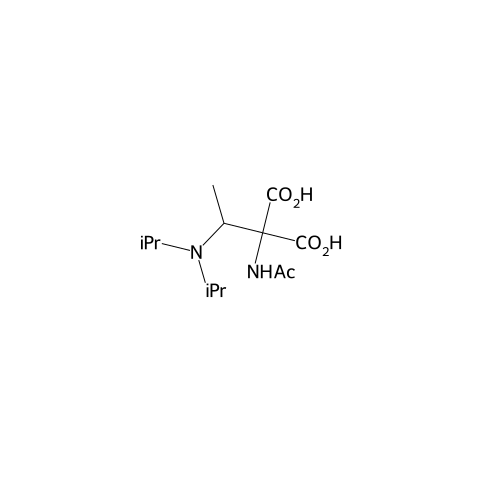 CC(=O)NC(C(=O)O)(C(=O)O)C(C)N(C(C)C)C(C)C